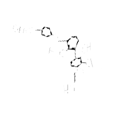 Cc1c(COc2ccc(C=O)cc2)cccc1-c1ccc(OCCO)c(C)c1C